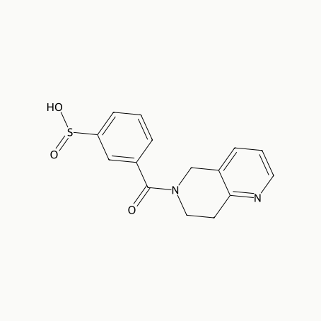 O=C(c1cccc(S(=O)O)c1)N1CCc2ncccc2C1